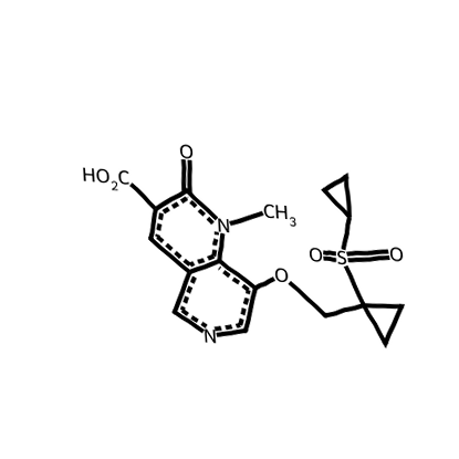 Cn1c(=O)c(C(=O)O)cc2cncc(OCC3(S(=O)(=O)C4CC4)CC3)c21